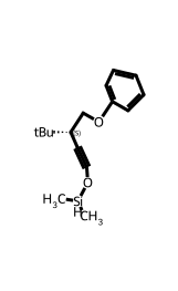 C[SiH](C)OC#C[C@@H](COc1ccccc1)C(C)(C)C